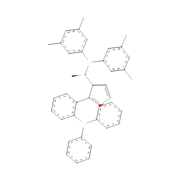 Cc1cc(C)cc(P(c2cc(C)cc(C)c2)[C@H](C)C2C=CC=C2c2ccccc2P(c2ccccc2)c2ccccc2)c1